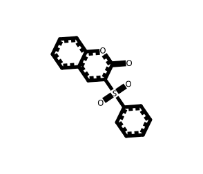 O=c1oc2ccccc2cc1S(=O)(=O)c1ccccc1